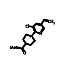 C=Cc1cnc(N2CCC(C(=O)NC)CC2)c(Cl)c1